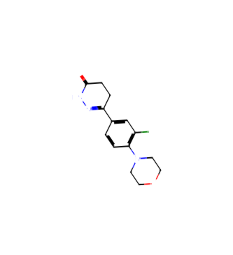 O=C1CCC(c2ccc(N3CCOCC3)c(F)c2)=NN1